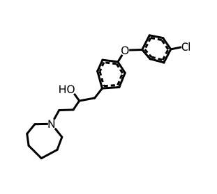 OC(CCN1CCCCCC1)Cc1ccc(Oc2ccc(Cl)cc2)cc1